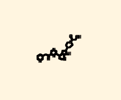 O=C(CO)N1CCC(c2cc3c(-c4cncc(NCc5cccnc5)n4)ccnc3[nH]2)CC1